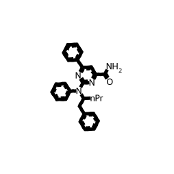 CCCC(Cc1ccccc1)N(c1ccccc1)c1nc(C(N)=O)cc(-c2ccccc2)n1